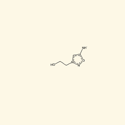 [NH-]c1c[n+](CCO)no1